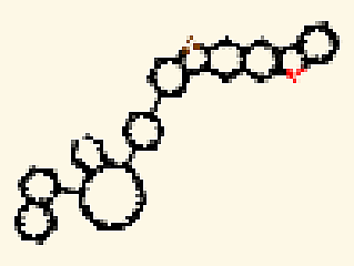 C/C=c1/c(-c2ccc(-c3ccc4sc5cc6cc7c(cc6cc5c4c3)oc3ccccc37)cc2)ccccccc(-c2cccc3ccccc23)/c1=C/C